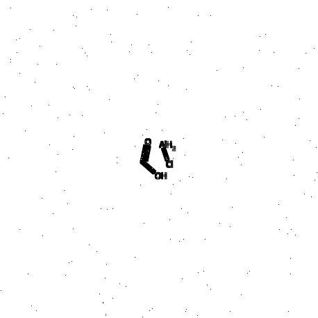 O=CO.[AlH2][Cl]